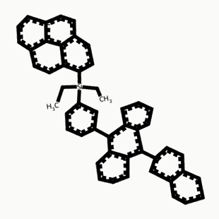 CC[Si](CC)(c1cccc(-c2c3ccccc3c(-c3ccc4ccccc4c3)c3ccccc23)c1)c1ccc2ccc3cccc4ccc1c2c34